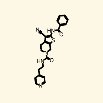 N#Cc1c(NC(=O)c2ccccc2)sc2c1CCN(C(=O)NCCc1ccncc1)C2